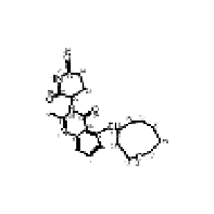 Cc1nc2cccc(BC3CCCCCCCC3)c2c(=O)n1C1CCC(=O)NC1=O